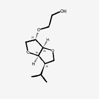 CC(C)[C@@H]1CO[C@H]2[C@@H]1OC[C@@H]2OCCO